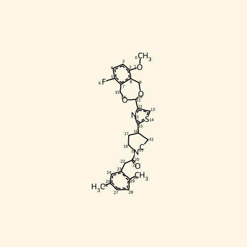 COc1ccc(F)c2c1COC(c1csc(C3CCN(C(=O)Cc4cc(C)ccc4C)CC3)n1)OC2